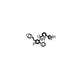 O=C(Nc1cc(CCN2CCOCC2)c(F)cc1N1CCCCC1)c1cccc(-c2cn[nH]c2)n1